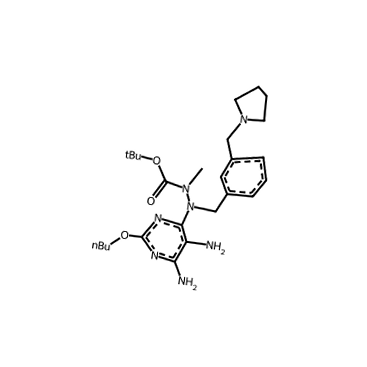 CCCCOc1nc(N)c(N)c(N(Cc2cccc(CN3CCCC3)c2)N(C)C(=O)OC(C)(C)C)n1